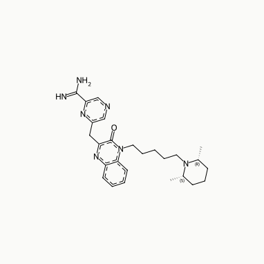 C[C@@H]1CCC[C@H](C)N1CCCCCn1c(=O)c(Cc2cncc(C(=N)N)n2)nc2ccccc21